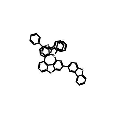 c1ccc(-c2nc(-c3ccccc3)nc(-c3cccc4oc5cc(-c6ccc7sc8ccccc8c7c6)cc(-n6c7ccccc7c7ccccc76)c5c34)n2)cc1